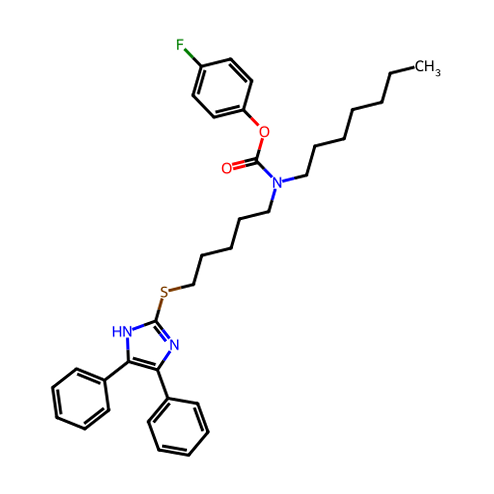 CCCCCCCN(CCCCCSc1nc(-c2ccccc2)c(-c2ccccc2)[nH]1)C(=O)Oc1ccc(F)cc1